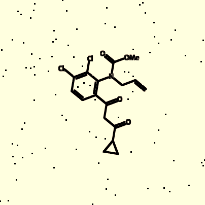 C=CCN(C(=O)OC)c1c(C(=O)CC(=O)C2CC2)ccc(Cl)c1Cl